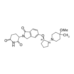 COC1(C)CCN([C@@H]2CCC[C@H]2Oc2ccc3c(c2)CN(C2CCC(=O)NC2=O)C3=O)CC1